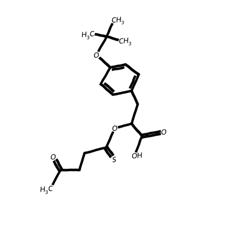 CC(=O)CCC(=S)OC(Cc1ccc(OC(C)(C)C)cc1)C(=O)O